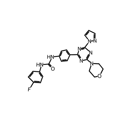 O=C(Nc1ccc(F)cc1)Nc1ccc(-c2nc(N3CCOCC3)nc(-n3cccn3)n2)cc1